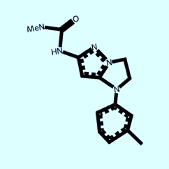 CNC(=O)Nc1cc2n(n1)CCN2c1cccc(C)c1